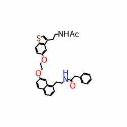 CC(=O)NCCc1csc2ccc(OCCOc3ccc4cccc(CCNC(=O)Cc5ccccc5)c4c3)cc12